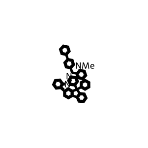 CNc1ccccc1/C(=N\Cn1c2ccccc2c2ccc3c(c21)C(c1ccccc1)(c1ccccc1)c1ccccc1-3)c1ccc(-c2ccccc2)cc1